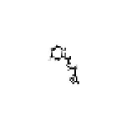 C1CCC(CSCC2CS2)CC1